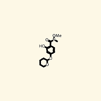 CON(C)C(=O)c1ccc(OC2CCCCO2)cc1O